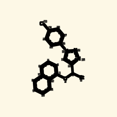 CCC(Oc1cccc2ccccc12)c1cn(-c2ccc(Cl)cc2)nn1